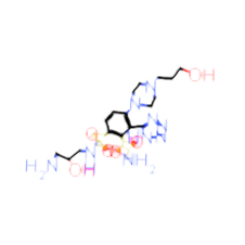 NC[C@@H](O)CNS(=O)(=O)c1ccc(N2CCN(CCCO)CC2)c(-c2nnn[nH]2)c1S(N)(=O)=O